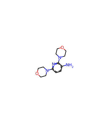 Nc1ccc(N2CCOCC2)nc1N1CCOCC1